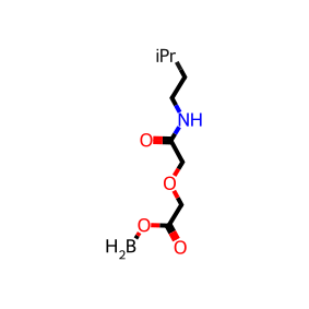 BOC(=O)COCC(=O)NCCC(C)C